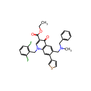 CCOC(=O)c1cn(Cc2c(F)cccc2F)c2cc(-c3ccsc3)c(CN(C)Cc3ccccc3)cc2c1=O